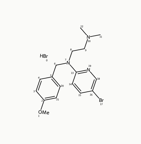 Br.COc1ccc(CN(CCN(C)C)c2ccc(Br)cn2)cc1